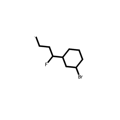 [CH2]CCC(F)[C]1CCCC(Br)C1